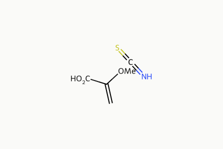 C=C(OC)C(=O)O.N=C=S